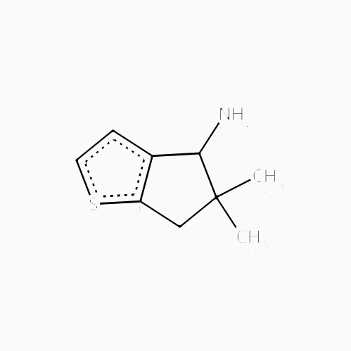 CC1(C)Cc2sccc2C1N